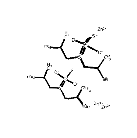 CCCCC(C)CS(CC(C)CCCC)=P([O-])([O-])[S-].CCCCC(C)CS(CC(C)CCCC)=P([O-])([O-])[S-].[Zn+2].[Zn+2].[Zn+2]